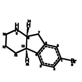 Brc1ccc2c(c1)C[C@@H]1NCCC[C@H]21